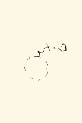 CC(C)(CCC(=O)C1CCCCCCCCCCCCCCCCC1)SSc1ccccn1